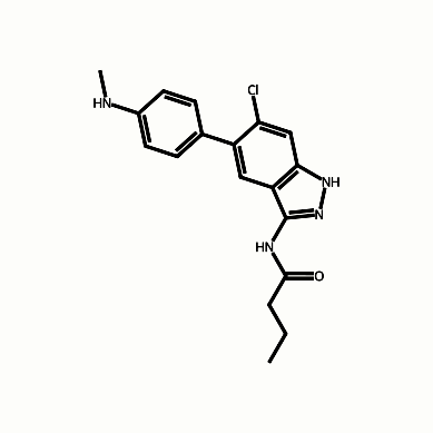 CCCC(=O)Nc1n[nH]c2cc(Cl)c(-c3ccc(NC)cc3)cc12